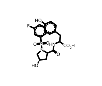 O=C(O)C(Cc1ccc(O)cc1)NC(=O)C1C[C@@H](O)CN1S(=O)(=O)c1cccc(F)c1